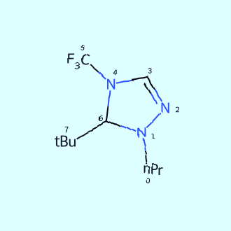 CCCN1N=CN(C(F)(F)F)C1C(C)(C)C